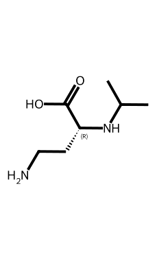 CC(C)N[C@H](CCN)C(=O)O